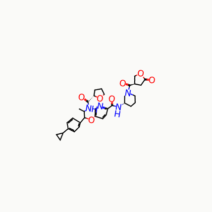 CC(NC(=O)[C@@H]1CCCO1)C(Oc1ccc(C(=O)N[C@H]2CCCN(C(=O)[C@H]3COC(=O)C3)C2)nc1)c1ccc(C2CC2)cc1